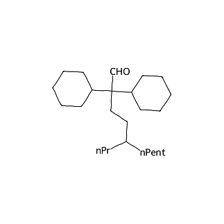 CCCCCC(CCC)CCC(C=O)(C1CCCCC1)C1CCCCC1